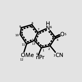 CCCc1c(C#N)c(=O)[nH]c2cccc(OC)c12